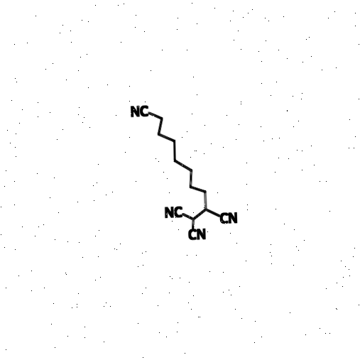 N#CCCCCCCCC(C#N)C(C#N)C#N